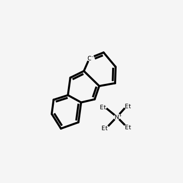 CC[N+](CC)(CC)CC.[c-]1cccc2cc3ccccc3cc12